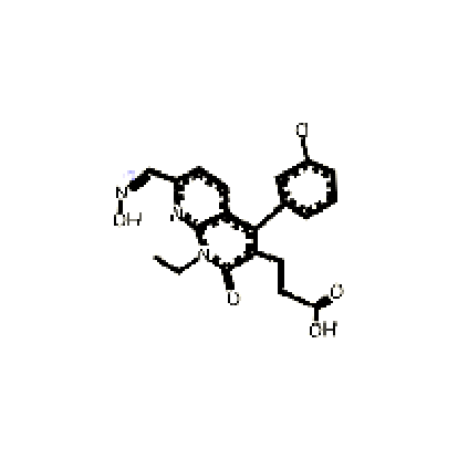 CCn1c(=O)c(CCC(=O)O)c(-c2cccc(Cl)c2)c2ccc(/C=N\O)nc21